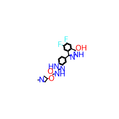 CN1CC(OC(=O)Nc2nc3cc(C4=NNC(O)c5cc(F)c(F)cc54)ccc3[nH]2)C1